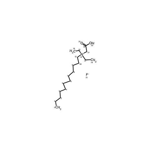 CCCCCCCCCCCC[N+](CC)(CC)CC(=O)O.[F-]